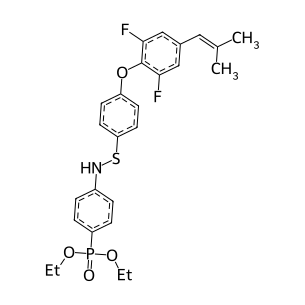 CCOP(=O)(OCC)c1ccc(NSc2ccc(Oc3c(F)cc(C=C(C)C)cc3F)cc2)cc1